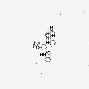 O=C(Nc1ccccc1F)c1cc(Nc2ncccc2-c2ncnc3[nH]cnc23)cc(OC(F)(F)F)c1